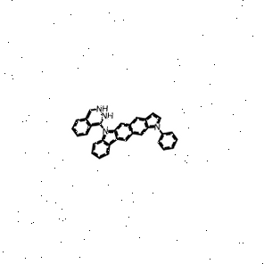 C1=c2ccccc2=C(n2c3ccccc3c3cc4cc5c(ccn5-c5ccccc5)cc4cc32)NN1